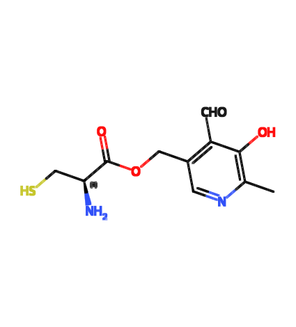 Cc1ncc(COC(=O)[C@@H](N)CS)c(C=O)c1O